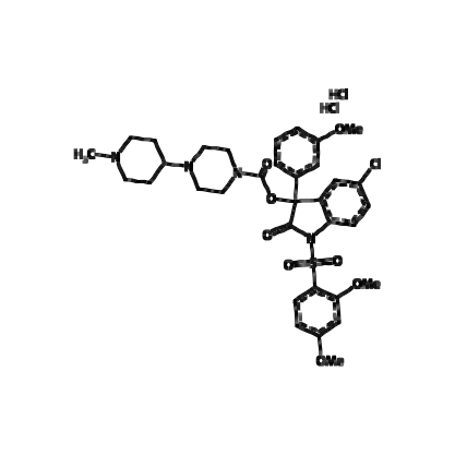 COc1cccc(C2(OC(=O)N3CCN(C4CCN(C)CC4)CC3)C(=O)N(S(=O)(=O)c3ccc(OC)cc3OC)c3ccc(Cl)cc32)c1.Cl.Cl